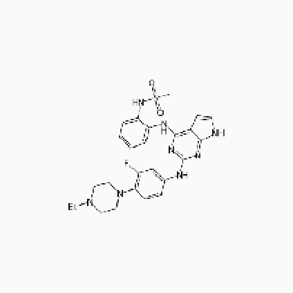 CCN1CCN(c2ccc(Nc3nc(Nc4ccccc4NS(C)(=O)=O)c4cc[nH]c4n3)cc2F)CC1